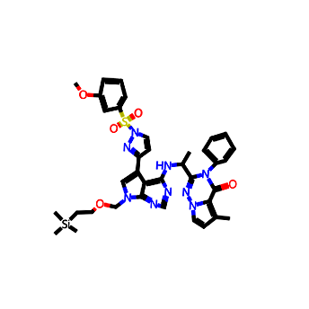 COc1cccc(S(=O)(=O)n2ccc(-c3cn(COCC[Si](C)(C)C)c4ncnc(NC(C)c5nn6ccc(C)c6c(=O)n5-c5ccccc5)c34)n2)c1